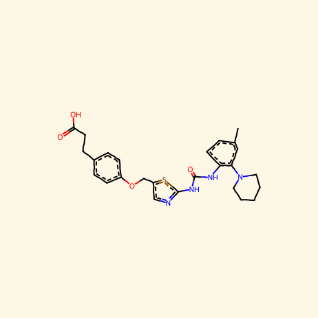 Cc1ccc(NC(=O)Nc2ncc(COc3ccc(CCC(=O)O)cc3)s2)c(N2CCCCC2)c1